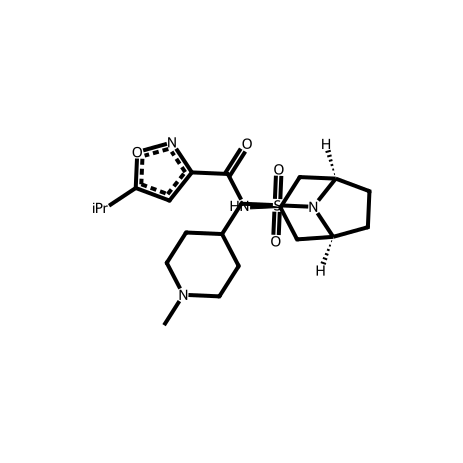 CC(C)c1cc(C(=O)N[C@H]2C[C@H]3CC[C@@H](C2)N3S(=O)(=O)CC2CCN(C)CC2)no1